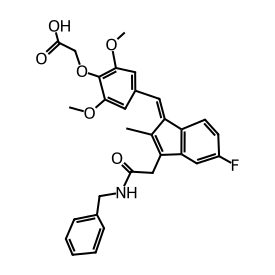 COc1cc(C=C2C(C)=C(CC(=O)NCc3ccccc3)c3cc(F)ccc32)cc(OC)c1OCC(=O)O